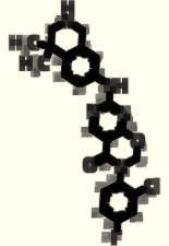 CC1(C)CNCc2cc(Nc3ncc4c(n3)OCN(c3ccc(F)cc3Cl)C4=O)ccc21